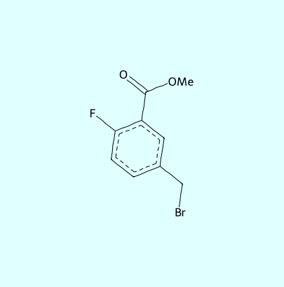 COC(=O)c1cc(CBr)ccc1F